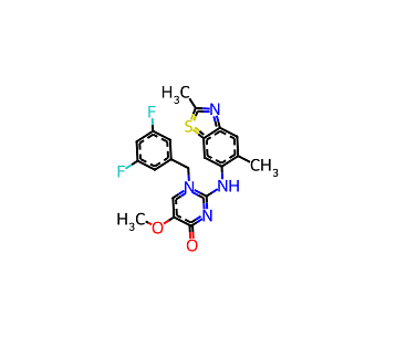 COc1cn(Cc2cc(F)cc(F)c2)c(Nc2cc3sc(C)nc3cc2C)nc1=O